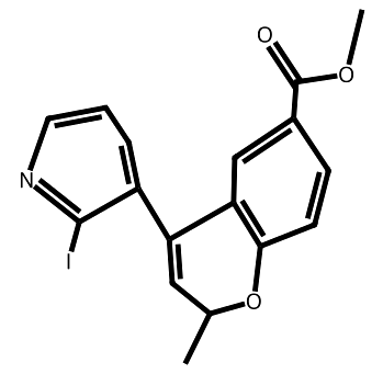 COC(=O)c1ccc2c(c1)C(c1cccnc1I)=CC(C)O2